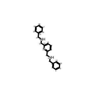 c1ccc(CNCc2cccc(CNCc3ccccc3)n2)cc1